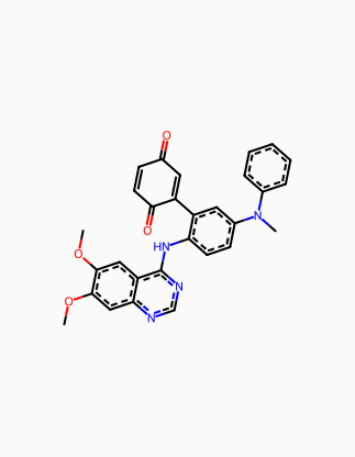 COc1cc2ncnc(Nc3ccc(N(C)c4ccccc4)cc3C3=CC(=O)C=CC3=O)c2cc1OC